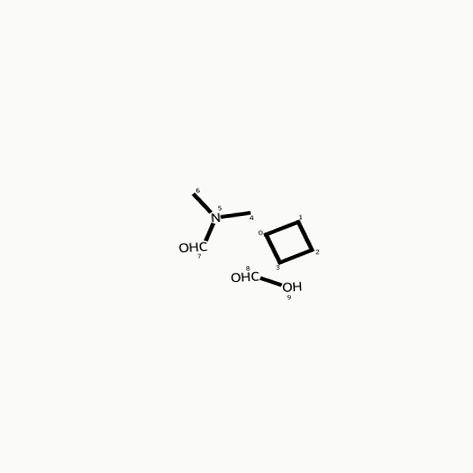 C1CCC1.CN(C)C=O.O=CO